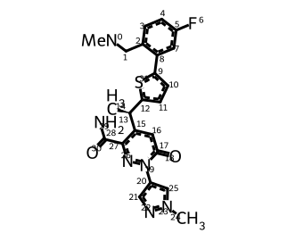 CNCc1ccc(F)cc1-c1ccc([C@H](C)c2cc(=O)n(-c3cnn(C)c3)nc2C(N)=O)s1